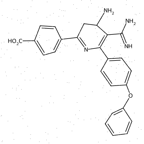 N=C(N)C1=C(c2ccc(Oc3ccccc3)cc2)N=C(c2ccc(C(=O)O)cc2)CC1N